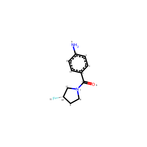 Nc1ccc(C(=O)N2CC[C@H](F)C2)cc1